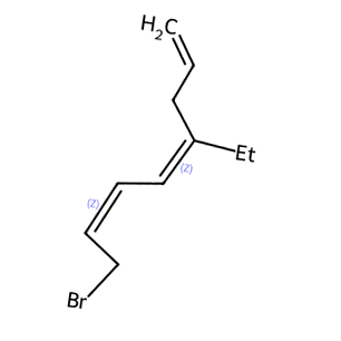 C=CC/C(=C\C=C/CBr)CC